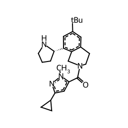 Cn1nc(C2CC2)cc1C(=O)N1CCc2cc(C(C)(C)C)cc([C@@H]3CCCN3)c2C1